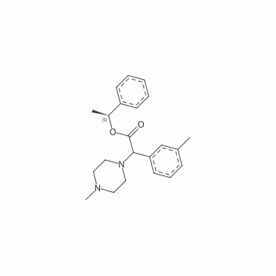 Cc1cccc(C(C(=O)O[C@@H](C)c2ccccc2)N2CCN(C)CC2)c1